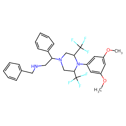 COc1cc(OC)cc(N2C(C(F)(F)F)CN(C(CNCc3ccccc3)c3ccccc3)CC2C(F)(F)F)c1